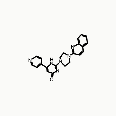 O=c1cc(-c2ccncc2)[nH]c(N2CCN(c3ccc4ccccc4n3)CC2)n1